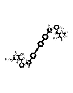 COC(=O)N[C@H](C(=O)N1CCC[C@H]1c1nc(-c2ccc(C#Cc3ccc(-c4ccc(-c5c[nH]c([C@@H]6CCCN6C(=O)[C@H](C(C)C)N(C)C(=O)O)n5)cc4)cc3)cc2)c[nH]1)C(C)C